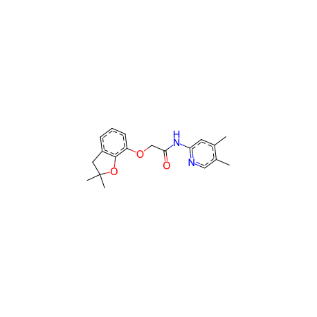 Cc1cnc(NC(=O)COc2cccc3c2OC(C)(C)C3)cc1C